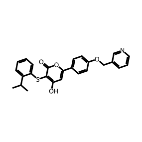 CC(C)c1ccccc1Sc1c(O)cc(-c2ccc(OCc3cccnc3)cc2)oc1=O